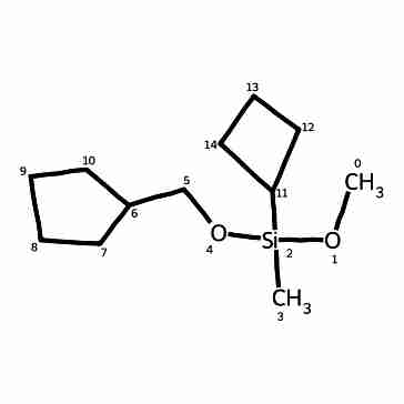 CO[Si](C)(OCC1CCCC1)C1CCC1